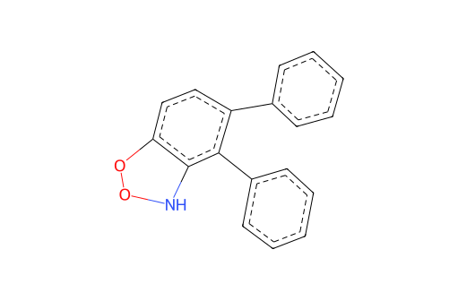 c1ccc(-c2ccc3c(c2-c2ccccc2)NOO3)cc1